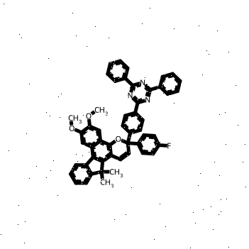 COc1cc2c3c(c4c(c2cc1OC)-c1ccccc1C4(C)C)C=CC(c1ccc(F)cc1)(c1ccc(-c2nc(-c4ccccc4)nc(-c4ccccc4)n2)cc1)O3